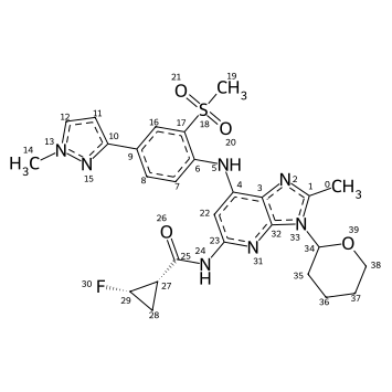 Cc1nc2c(Nc3ccc(-c4ccn(C)n4)cc3S(C)(=O)=O)cc(NC(=O)[C@@H]3C[C@@H]3F)nc2n1C1CCCCO1